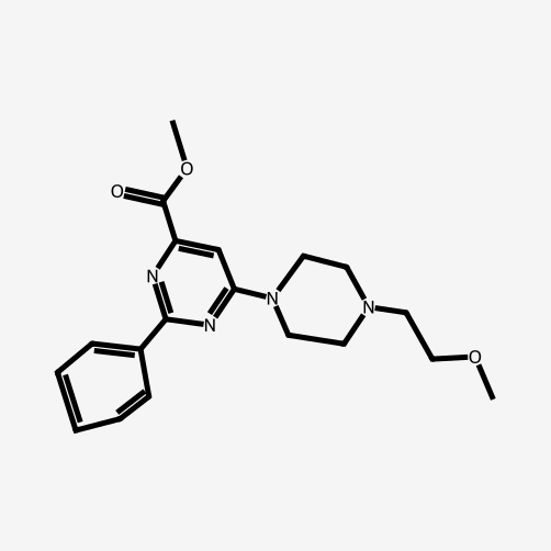 COCCN1CCN(c2cc(C(=O)OC)nc(-c3ccccc3)n2)CC1